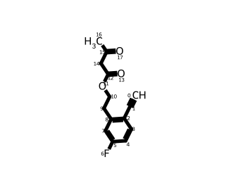 C#Cc1ccc(F)cc1CCOC(=O)CC(C)=O